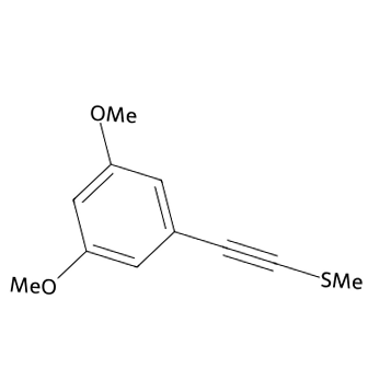 COc1cc(C#CSC)cc(OC)c1